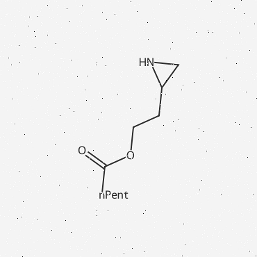 CCCCCC(=O)OCCC1CN1